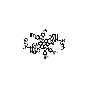 CC(C)c1ccc(Oc2cc3c4c(cc(Oc5ccc(C(C)C)cc5)c5c6c(Oc7ccc(C(C)C)cc7)cc7c8c(cc(Oc9ccc(C(C)C)cc9)c(c2c45)c86)C(=O)N(C(C(=O)NCCC(=O)OCC2CO2)c2cccs2)C7=O)C(=O)N(C(C(=O)NCCC(=O)OCC2CO2)c2cccs2)C3=O)cc1